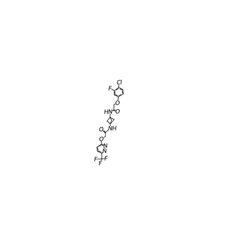 O=C(COc1ccc(Cl)c(F)c1)NC12CC(NC(=O)COc3ccc(C(F)(F)F)nn3)(C1)C2